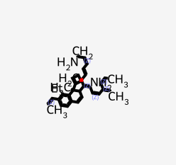 C=C(N)/C=C\C=CC(=C)/C(=C(N)/C=C\C(\C=C/C)=C/C)C1C=Cc2ccc(/C=C\C)c(CC)c2C1(C)C1=CCC1